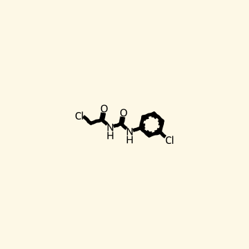 O=C(CCl)NC(=O)Nc1cccc(Cl)c1